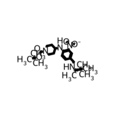 C[C@H](NCc1ccc(NC2CCN(C(=O)OC(C)(C)C)CC2)c([N+](=O)[O-])c1)C(C)(C)C